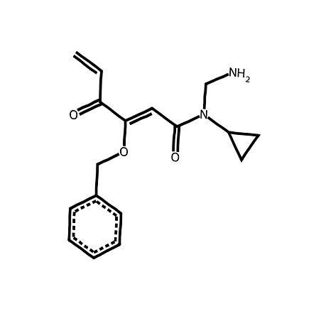 C=CC(=O)/C(=C/C(=O)N(CN)C1CC1)OCc1ccccc1